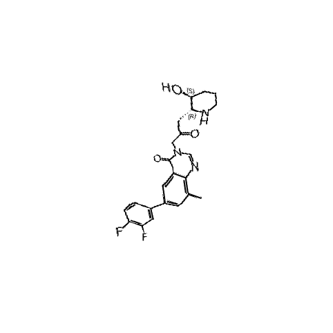 Cc1cc(-c2ccc(F)c(F)c2)cc2c(=O)n(CC(=O)C[C@H]3NCCC[C@@H]3O)cnc12